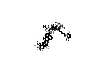 CC[C@@]1(O)C(=O)OCc2c1cc1n(c2=O)Cc2c-1nc1ccc(NC(=O)C(C)NC(=O)C(NC(=O)CCCCCN3C(=O)C=CC3=O)C(C)C)c3c1c2CCC3